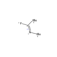 CC(C)(C)/N=C(/F)C(C)(C)C